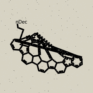 CCCCCCCCCCCCC1N(C)CC23C4=C5C=CC6C7C5=C2c2c5c8c9c2c2c%10c(ccc%11c%12c(c9c%11%10)C9C(=C%10C=CC6C(C=57)C%10C=89)C=C%12)=C(C=C4)C213